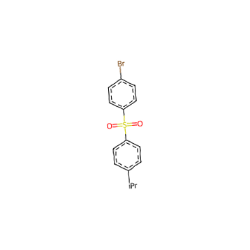 CC(C)c1ccc(S(=O)(=O)c2ccc(Br)cc2)cc1